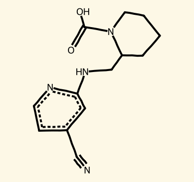 N#Cc1ccnc(NCC2CCCCN2C(=O)O)c1